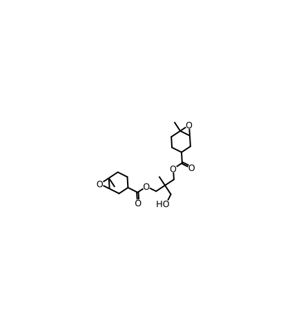 CC(CO)(COC(=O)C1CCC2(C)OC2C1)COC(=O)C1CCC2(C)OC2C1